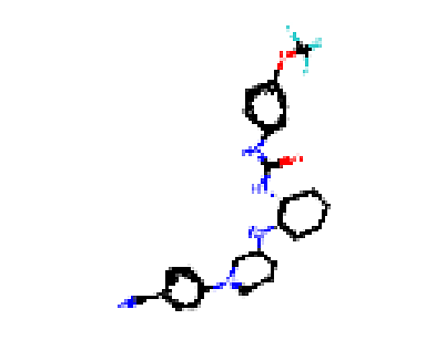 N#Cc1ccc(N2CCC[C@H](N[C@@H]3CCCC[C@H]3NC(=O)Nc3ccc(OC(F)(F)F)cc3)C2)cc1